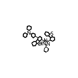 C1=CCC(C2N=C(c3cccc4sc5ccccc5c34)N=C(c3ccc(-c4ccc(N(c5ccccc5)c5ccccc5)cc4)c4c3oc3ccccc34)N2)C=C1